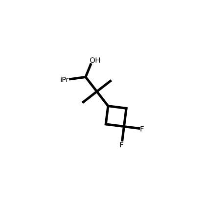 CC(C)C(O)C(C)(C)C1CC(F)(F)C1